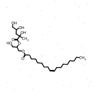 CCCCCCCC/C=C\CCCCCCCC(=O)OCC(CO)OC(=O)C(C)(O)CC(O)CO